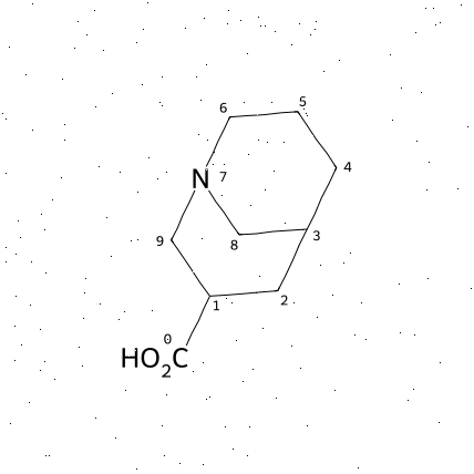 O=C(O)C1CC2CCCN(C2)C1